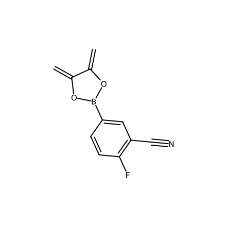 C=C1OB(c2ccc(F)c(C#N)c2)OC1=C